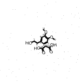 COc1ccc(CCO)cc1OC.O=C(O)CC(=O)O